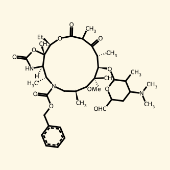 CC[C@H]1OC(=O)C(C)C(=O)[C@H](C)[C@@H](OC2OC(C=O)CC(N(C)C)C2C)[C@](C)(OC)C[C@@H](C)CN(C(=O)OCc2ccccc2)[C@H](C)[C@H]2NC(=O)O[C@@]21C